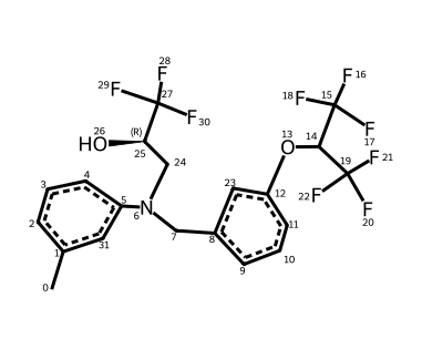 Cc1cccc(N(Cc2cccc(OC(C(F)(F)F)C(F)(F)F)c2)C[C@@H](O)C(F)(F)F)c1